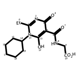 CCc1nc(=O)c(C(=O)NCC(=O)O)c(O)n1C1CCCCC1